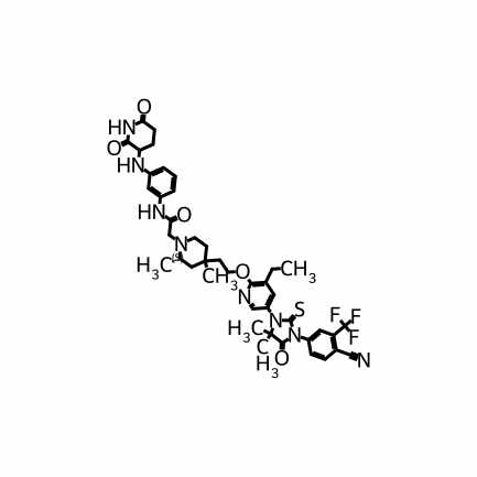 CCc1cc(N2C(=S)N(c3ccc(C#N)c(C(F)(F)F)c3)C(=O)C2(C)C)cnc1OCCC1(C)CCN(CC(=O)Nc2cccc(NC3CCC(=O)NC3=O)c2)[C@@H](C)C1